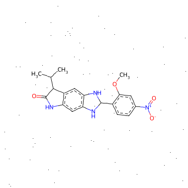 COc1cc([N+](=O)[O-])ccc1C1Nc2cc3c(cc2N1)C(C(C)C)C(=O)N3